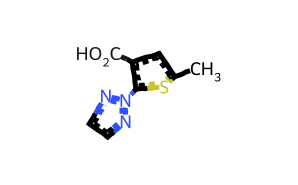 Cc1cc(C(=O)O)c(-n2nccn2)s1